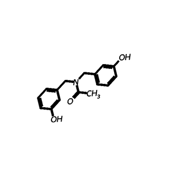 CC(=O)N(Cc1cccc(O)c1)Cc1cccc(O)c1